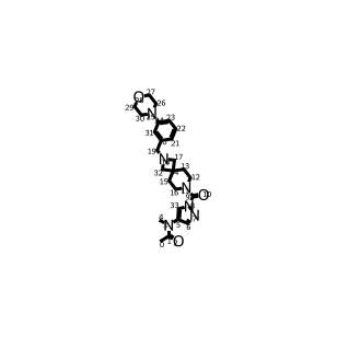 CC(=O)N(C)c1cnn(C(=O)N2CCC3(CC2)CN(Cc2cccc(N4CCOCC4)c2)C3)c1